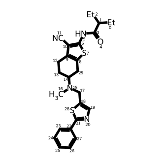 CCC(CC)C(=O)Nc1sc2c(c1C#N)CCC(N(C)Cc1cnc(-c3ccccc3)s1)C2